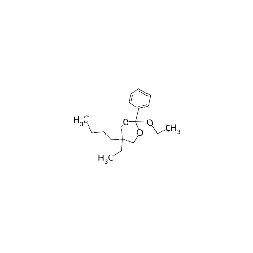 CCCCC1(CC)COC(OCC)(c2ccccc2)OC1